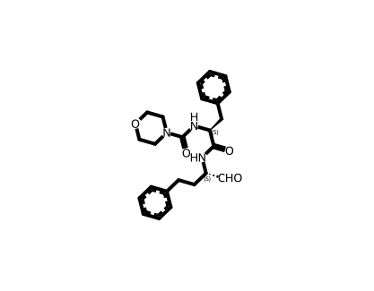 O=C[C@H](CCc1ccccc1)NC(=O)[C@H](Cc1ccccc1)NC(=O)N1CCOCC1